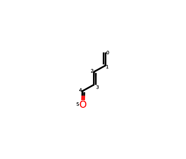 C=CC=CC=O